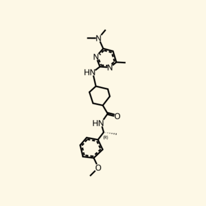 COc1cccc([C@@H](C)NC(=O)C2CCC(Nc3nc(C)cc(N(C)C)n3)CC2)c1